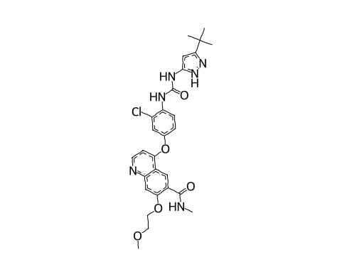 CNC(=O)c1cc2c(Oc3ccc(NC(=O)Nc4cc(C(C)(C)C)n[nH]4)c(Cl)c3)ccnc2cc1OCCOC